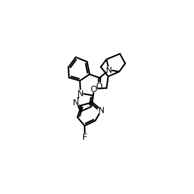 O=C(c1ccccc1-n1cccn1)N1C2CCC1C(COc1ccc(F)cn1)C2